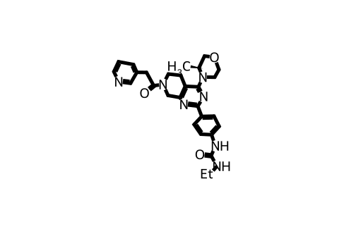 CCNC(=O)Nc1ccc(-c2nc3c(c(N4CCOC[C@@H]4C)n2)CCN(C(=O)Cc2cccnc2)C3)cc1